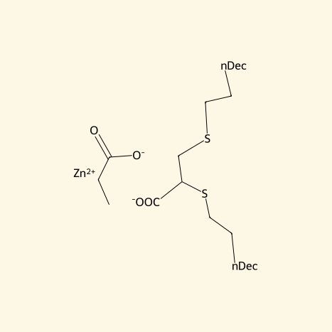 CCC(=O)[O-].CCCCCCCCCCCCSCC(SCCCCCCCCCCCC)C(=O)[O-].[Zn+2]